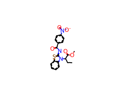 CCC(C(=O)OC)n1/c(=N/C(=O)c2ccc([N+](=O)[O-])cc2)sc2ccccc21